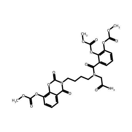 COC(=O)Oc1cccc(C(=O)N(CCCCn2c(=O)oc3c(OC(=O)OC)cccc3c2=O)CC(N)=O)c1OC(=O)OC